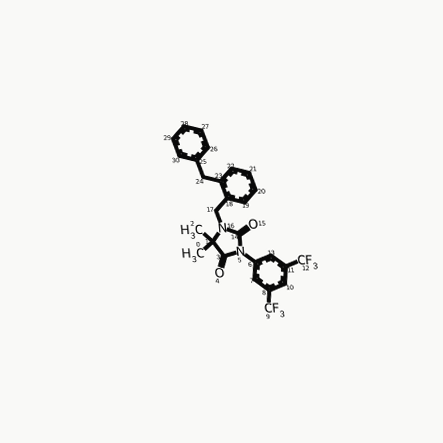 CC1(C)C(=O)N(c2cc(C(F)(F)F)cc(C(F)(F)F)c2)C(=O)N1Cc1ccccc1Cc1ccccc1